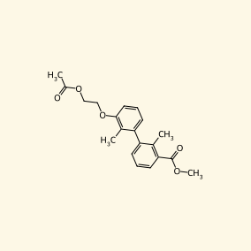 COC(=O)c1cccc(-c2cccc(OCCOC(C)=O)c2C)c1C